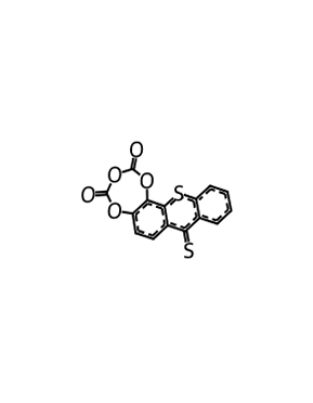 O=C1OC(=O)Oc2c(ccc3c(=S)c4ccccc4sc23)O1